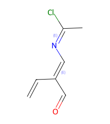 C=C/C(C=O)=C\N=C(/C)Cl